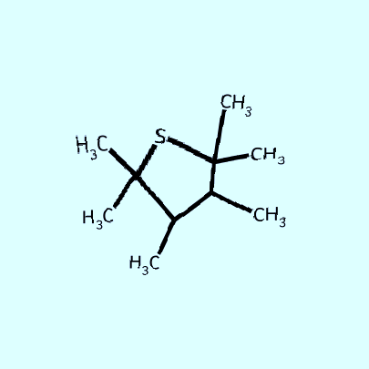 CC1C(C)C(C)(C)SC1(C)C